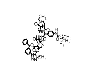 CCN1CCN(C(=O)N[C@@H](C(=O)N[C@@H]2C(=O)N3C(C(=O)OC(c4ccccc4)c4ccccc4)=C(CSc4nnnn4C)CS[C@@H]23)c2ccc(NC(=O)OC(C)(C)C)cc2)C(=O)C1=O